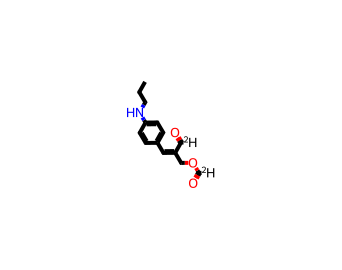 [2H]C(=O)OC/C(=C/c1ccc(NCCC)cc1)C([2H])=O